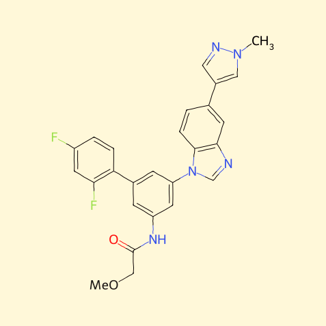 COCC(=O)Nc1cc(-c2ccc(F)cc2F)cc(-n2cnc3cc(-c4cnn(C)c4)ccc32)c1